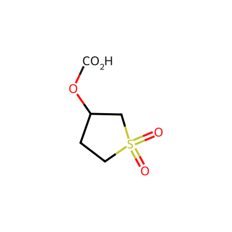 O=C(O)OC1CCS(=O)(=O)C1